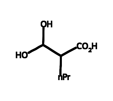 CCCC(C(=O)O)C(O)O